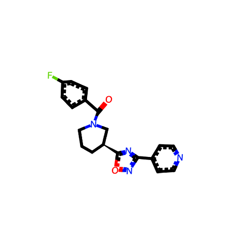 O=C(c1ccc(F)cc1)N1CCC[C@H](c2nc(-c3ccncc3)no2)C1